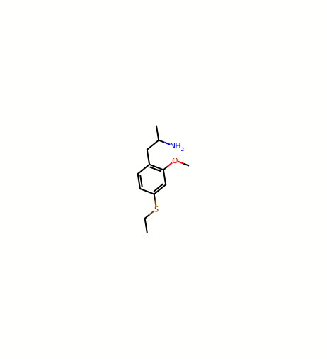 CCSc1ccc(CC(C)N)c(OC)c1